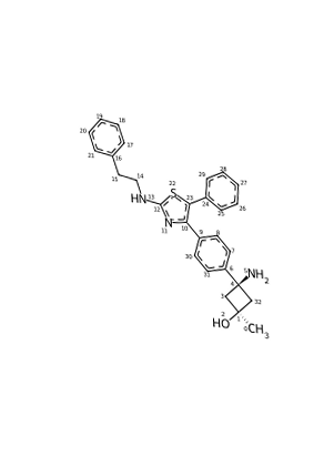 C[C@]1(O)C[C@](N)(c2ccc(-c3nc(NCCc4ccccc4)sc3-c3ccccc3)cc2)C1